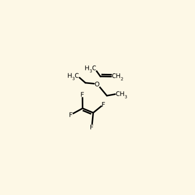 C=CC.CCOCC.FC(F)=C(F)F